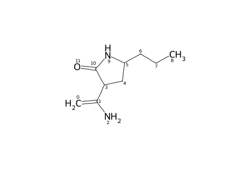 C=C(N)C1CC(CCC)NC1=O